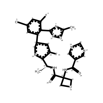 Cc1nc(-c2c(F)cc(Cl)cc2-c2cnc([C@@H](C)NC(=O)C3(NC(=O)c4cncnc4)COC3)c(F)c2)no1